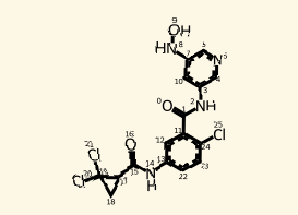 O=C(Nc1cncc(NO)c1)c1cc(NC(=O)C2CC2(Cl)Cl)ccc1Cl